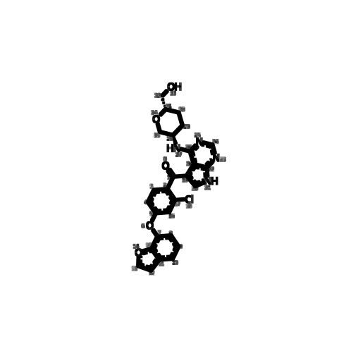 O=C(c1ccc(Oc2cccc3ccoc23)cc1Cl)c1c[nH]c2ncnc(N[C@@H]3CC[C@@H](CO)OC3)c12